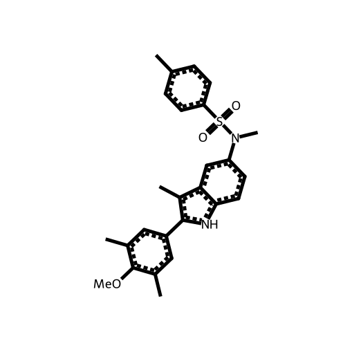 COc1c(C)cc(-c2[nH]c3ccc(N(C)S(=O)(=O)c4ccc(C)cc4)cc3c2C)cc1C